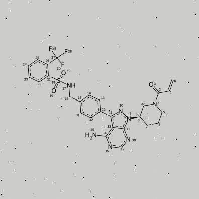 C=CC(=O)N1CCC[C@@H](n2nc(-c3ccc(CNS(=O)(=O)c4ccccc4C(F)(F)F)cc3)c3c(N)ncnc32)C1